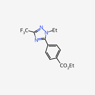 CCOC(=O)c1ccc(-c2nc(C(F)(F)F)nn2CC)cc1